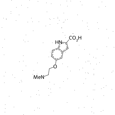 CNCCOc1ccc2[nH]c(C(=O)O)cc2c1